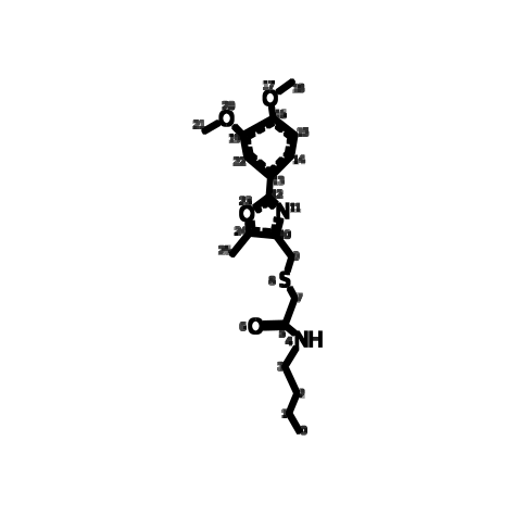 CCCCNC(=O)CSCc1nc(-c2ccc(OC)c(OC)c2)oc1C